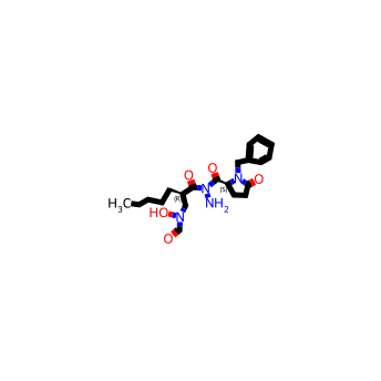 CCCCC[C@H](CN(O)C=O)C(=O)N(N)C(=O)[C@@H]1CCC(=O)N1Cc1ccccc1